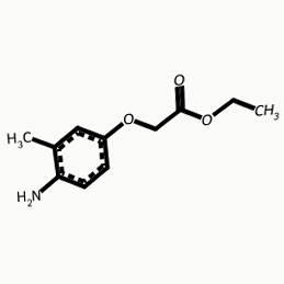 CCOC(=O)COc1ccc(N)c(C)c1